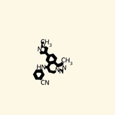 Cc1nnn2c1-c1ccc(-c3cnn(C)c3)cc1C(Nc1cccc(C#N)c1)CC2